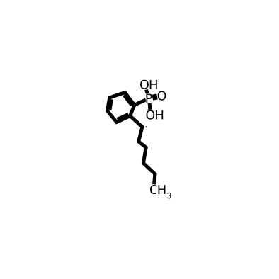 CCCCC[CH]c1ccccc1P(=O)(O)O